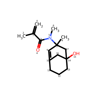 C=C(C)C(=O)N(C)C1(C)C=C2CCCC(O)(C2)C1